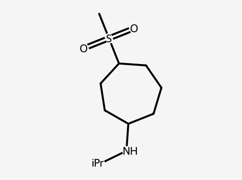 CC(C)NC1CCCC(S(C)(=O)=O)CC1